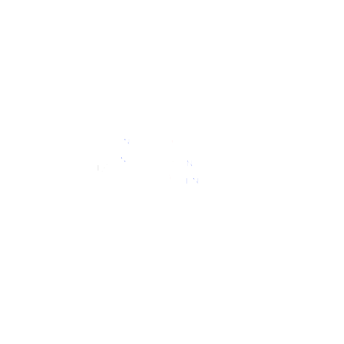 Cn1cc(S(=O)(=O)NNc2ccccc2)cn1